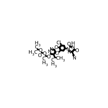 CC(C)OC(=O)OC(C)Oc1nnc(Oc2c(Cl)cc(-n3nc(C#N)c(=O)[nH]c3=O)cc2Cl)cc1C(C)C